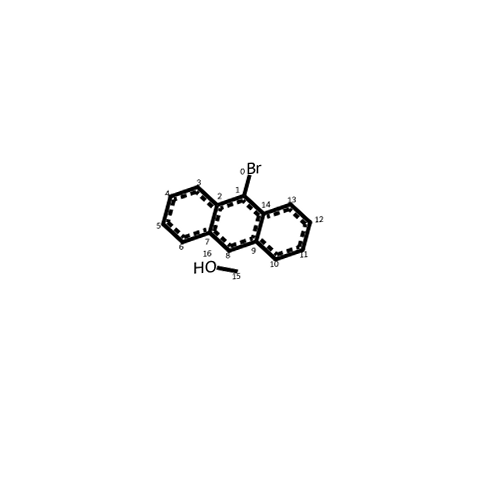 Brc1c2ccccc2cc2ccccc12.CO